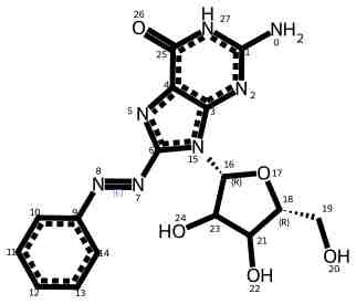 Nc1nc2c(nc(/N=N/c3ccccc3)n2[C@@H]2O[C@H](CO)C(O)C2O)c(=O)[nH]1